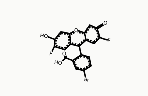 O=C(O)c1cc(Br)ccc1-c1c2cc(F)c(=O)cc-2oc2cc(O)c(F)cc12